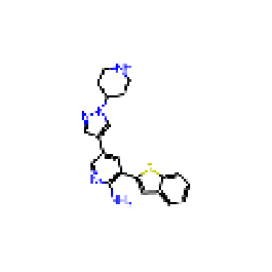 Nc1ncc(-c2cnn(C3CCNCC3)c2)cc1-c1cc2ccccc2s1